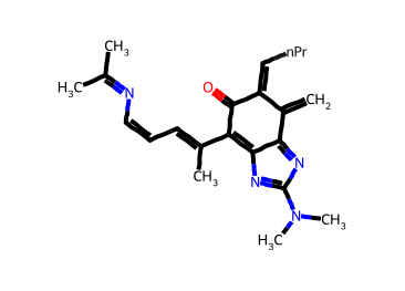 C=C1C2=NC(N(C)C)=NC2=C(/C(C)=C/C=C\N=C(C)C)C(=O)/C1=C/CCC